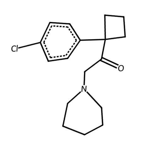 O=C(CN1CCCCC1)C1(c2ccc(Cl)cc2)CCC1